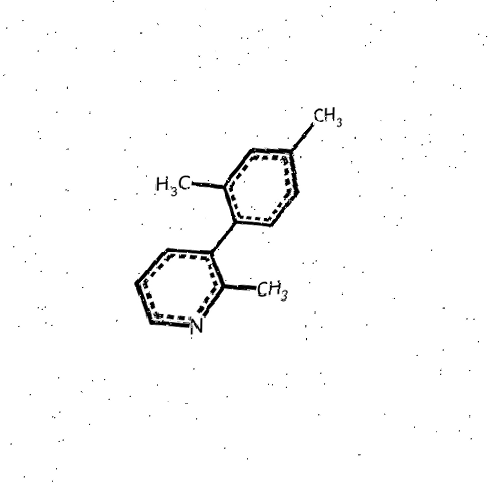 Cc1ccc(-c2cccnc2C)c(C)c1